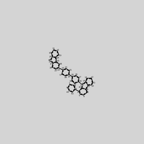 c1ccc(-c2cccc3c4ccccc4n(-c4ccc(-c5ccc(-c6ccc7sc8ccccc8c7c6)cc5)cc4)c23)cc1